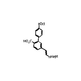 CCCCCCCC=Cc1ccc(C(=O)O)c(-c2ccc(CCCCCCCC)cc2)c1